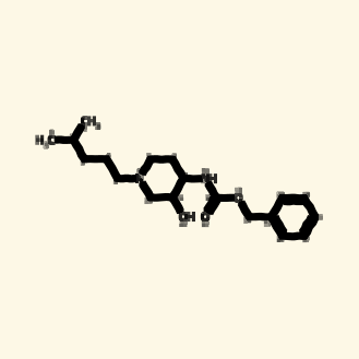 CC(C)CCCN1CCC(NC(=O)OCc2ccccc2)C(O)C1